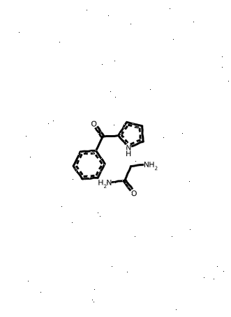 NCC(N)=O.O=C(c1ccccc1)c1ccc[nH]1